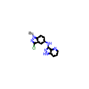 CCC(C)n1nc(Cl)c2cc(Nc3n[nH]c4cccnc34)ccc21